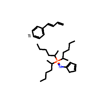 C=CC=Cc1ccccc1.CCCCC(C)P(=NC1=CC=CC1)(C(C)CCCC)C(C)CCCC.[Ti]